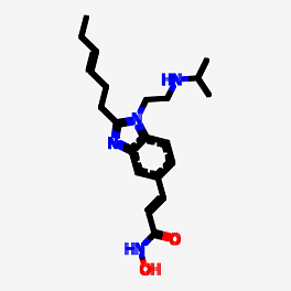 CCC=CCCc1nc2cc(C=CC(=O)NO)ccc2n1CCNC(C)C